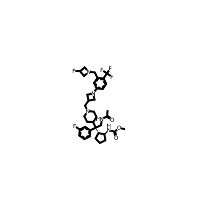 COC(=O)N[C@H]1CCC[C@@H]1C(CNC(C)=O)(c1cccc(F)c1)C1CCN(CC2CN(c3ccc(C(F)(F)F)c(CN4CC(F)C4)c3)C2)CC1